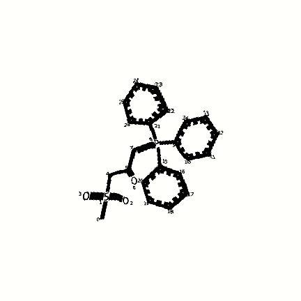 CS(=O)(=O)CC(=O)C=P(c1ccccc1)(c1ccccc1)c1ccccc1